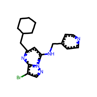 Brc1cnn2c(NCc3ccncc3)cc(CC3CCCCC3)nc12